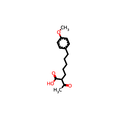 COc1ccc(CCCCCC(C(C)=O)C(=O)O)cc1